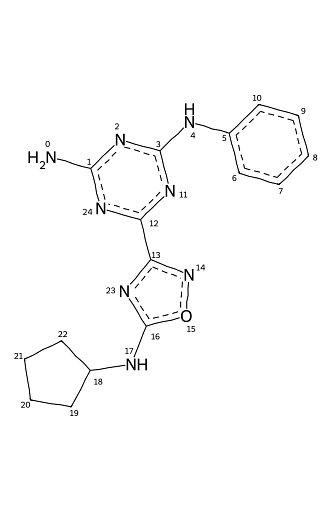 Nc1nc(Nc2ccccc2)nc(-c2noc(NC3CCCC3)n2)n1